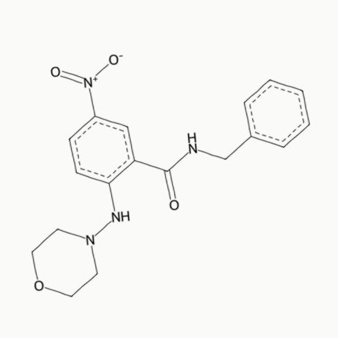 O=C(NCc1ccccc1)c1cc([N+](=O)[O-])ccc1NN1CCOCC1